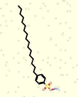 CCCCCCCCCCCCCCCCCc1ccc(S(=O)(=O)ON)cc1